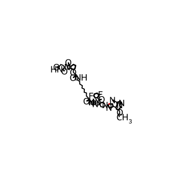 CCOc1cc(-c2ccc(N3CCC(CN4CCN(C(=O)CCCCCCCCCCNC(=O)COc5cccc6c5CN(C5CCC(=O)NC5=O)C6=O)CC4)(NC(=O)c4cc(F)ccc4F)CC3)nc2)c2c(C#N)cnn2c1